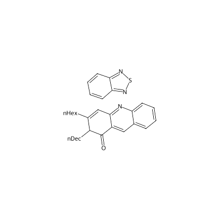 CCCCCCCCCCC1C(=O)c2cc3ccccc3nc2C=C1CCCCCC.c1ccc2nsnc2c1